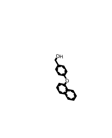 OCc1ccc(Oc2cccc3ccccc23)cc1